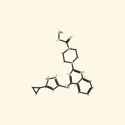 CCCCOC(=O)N1CCN(c2nc(Nc3cc(C4CC4)[nH]n3)c3ccccc3n2)CC1